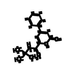 CC(C)(C)NC(=O)c1cc(-c2ccccc2)cc(=O)o1